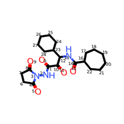 O=C(NN1C(=O)CCC1=O)C(=O)C(NC(=O)C1CCCCCC1)C1CCCCC1